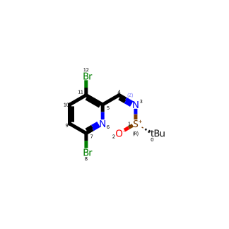 CC(C)(C)[S@+]([O-])/N=C\c1nc(Br)ccc1Br